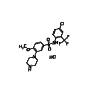 COc1ccc(S(=O)(=O)Nc2ccc(Cl)cc2C(F)(F)F)cc1N1CCNCC1.Cl